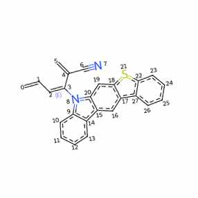 C=C/C=C(\C(=C)C#N)n1c2ccccc2c2cc3c(cc21)sc1ccccc13